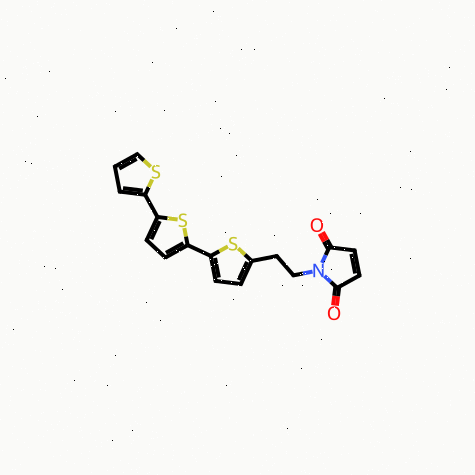 O=C1C=CC(=O)N1CCc1ccc(-c2ccc(-c3cccs3)s2)s1